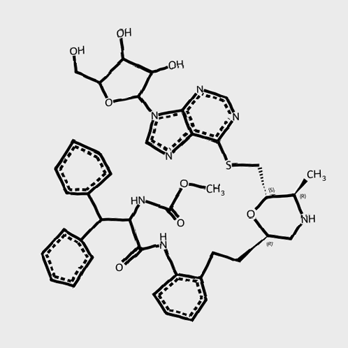 COC(=O)NC(C(=O)Nc1ccccc1CC[C@@H]1CN[C@H](C)[C@@H](CSc2ncnc3c2ncn3C2OC(CO)C(O)C2O)O1)C(c1ccccc1)c1ccccc1